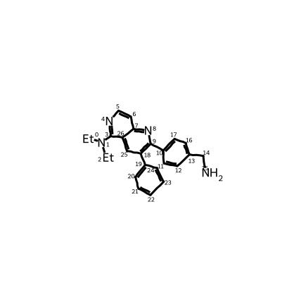 CCN(CC)c1nccc2nc(-c3ccc(CN)cc3)c(-c3ccccc3)cc12